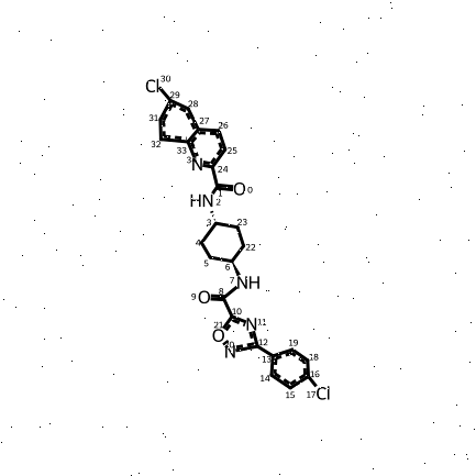 O=C(N[C@H]1CC[C@H](NC(=O)c2nc(-c3ccc(Cl)cc3)no2)CC1)c1ccc2cc(Cl)ccc2n1